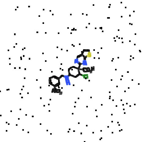 O=C(O)C1(c2ncc3ccsc3n2)CCC(NCc2cccc([N+](=O)[O-])c2)CC1Cl